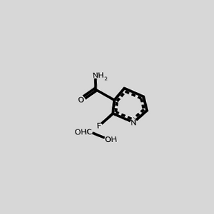 NC(=O)c1cccnc1F.O=CO